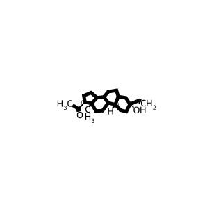 C=C[C@@]1(O)CC[C@H]2C(CCC3C2CC[C@@]2(C)C3CC[C@@H]2C(C)=O)C1